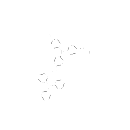 COc1ccc(P(c2ccc(OC)cc2)c2ccc(OC)cc2)cc1.c1ccc(P(c2ccccc2)c2ccccc2)cc1